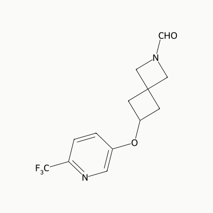 O=CN1CC2(CC(Oc3ccc(C(F)(F)F)nc3)C2)C1